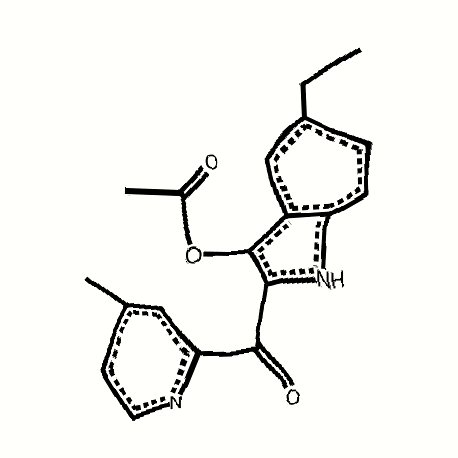 CCc1ccc2[nH]c(C(=O)c3cc(C)ccn3)c(OC(C)=O)c2c1